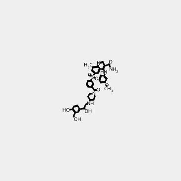 COc1cccc(Nc2c(C(N)=O)cnc3c(C)cc(S(=O)(=O)c4cccc(C(=O)N5CCC(NC[C@H](O)c6ccc(O)c(CO)c6)CC5)c4)cc23)c1